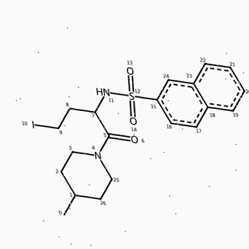 CC1CCN(C(=O)C(CCI)NS(=O)(=O)c2ccc3ccccc3c2)CC1